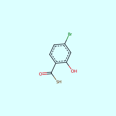 O=C(S)c1ccc(Br)cc1O